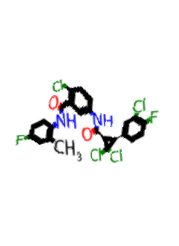 Cc1cc(F)ccc1NC(=O)c1cc(NC(=O)[C@H]2[C@H](c3ccc(F)c(Cl)c3)C2(Cl)Cl)ccc1Cl